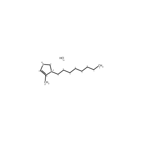 CCCCCCCCN1CSC=C1C.Cl